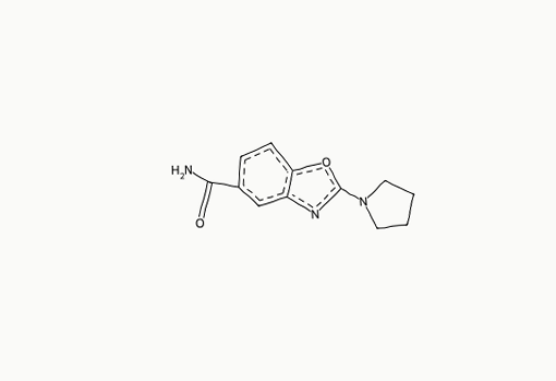 NC(=O)c1ccc2oc(N3CCCC3)nc2c1